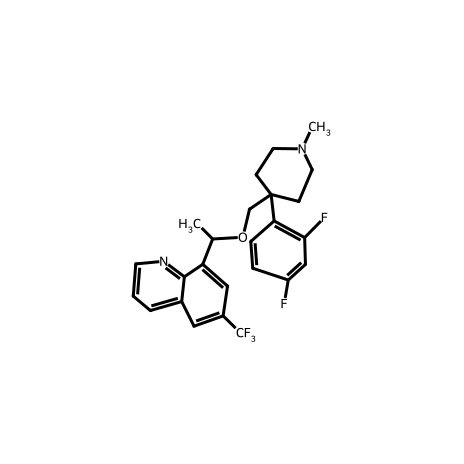 CC(OCC1(c2ccc(F)cc2F)CCN(C)CC1)c1cc(C(F)(F)F)cc2cccnc12